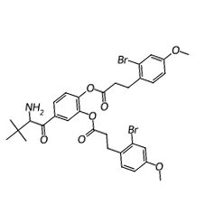 COc1ccc(CCC(=O)Oc2ccc(C(=O)C(N)C(C)(C)C)cc2OC(=O)CCc2ccc(OC)cc2Br)c(Br)c1